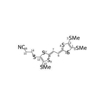 CSC1=C(SC)SC(=CC=C2SC(SC)=C(SCCC#N)S2)S1